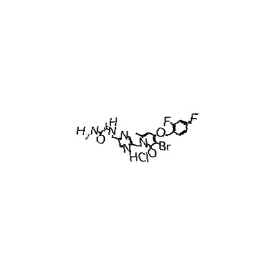 Cc1cc(OCc2ccc(F)cc2F)c(Br)c(=O)n1Cc1cnc(CN[C@H](C)C(N)=O)cn1.Cl